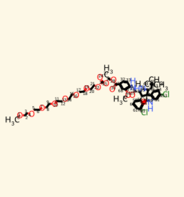 COCCOCCOCCOCCOCCOCCOCCOC(=O)OC(C)OC(=O)c1ccc(NC(=O)[C@@H]2N[C@@H](CC(C)(C)C)[C@@]3(C(=O)Nc4cc(Cl)ccc43)[C@@H]2c2cccc(Cl)c2)c(OC)c1